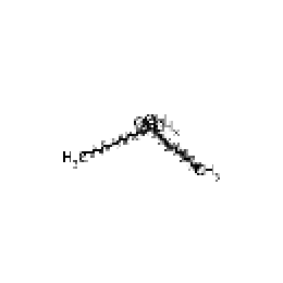 CCCCCCCCCCCCCCCC(C(=O)O)C(C)CCCCCCCCCCCCC